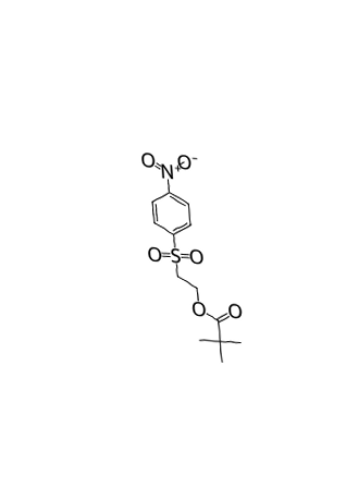 CC(C)(C)C(=O)OCCS(=O)(=O)c1ccc([N+](=O)[O-])cc1